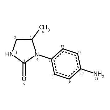 CC1CNC(=O)N1c1ccc(N)cc1